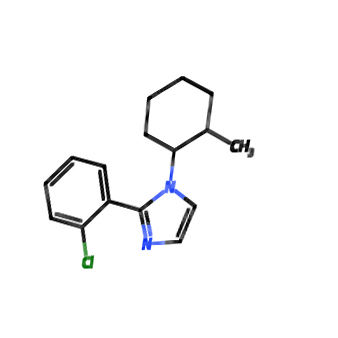 CC1CCCCC1n1ccnc1-c1ccccc1Cl